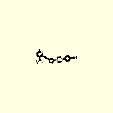 COC(=O)c1ccc(C)nc1C#CC1=CC(N2CCN(c3ccc(C#N)cc3)CC2)CC1